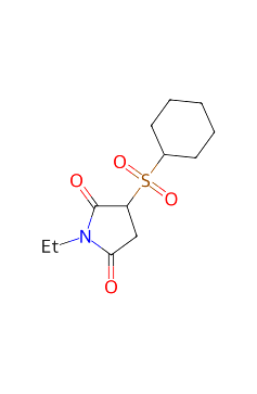 CCN1C(=O)CC(S(=O)(=O)C2CCCCC2)C1=O